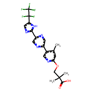 Cc1cc(OCC(C)(C)C(=O)O)ncc1-c1cnc(-c2ncc(C(F)(F)C(F)(F)F)[nH]2)cn1